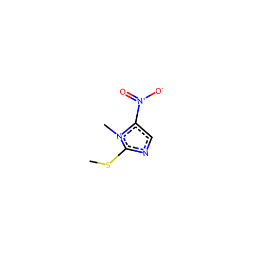 CSc1ncc([N+](=O)[O-])n1C